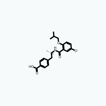 CC(C)COc1ccc(Cl)cc1C(=O)N[C@@H](C)Cc1ccc(C(=O)O)cc1